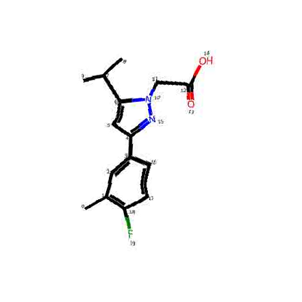 Cc1cc(-c2cc(C(C)C)n(CC(=O)O)n2)ccc1F